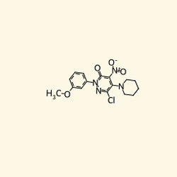 COc1cccc(-n2nc(Cl)c(N3CCCCC3)c([N+](=O)[O-])c2=O)c1